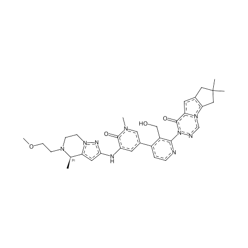 COCCN1CCn2nc(Nc3cc(-c4ccnc(-n5ncn6c7c(cc6c5=O)CC(C)(C)C7)c4CO)cn(C)c3=O)cc2[C@H]1C